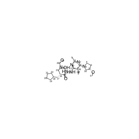 CO[C@H]1CCN(c2nc(C)nc(NNC(=O)[C@H](CC3CCCC3)CN(O)C=O)c2F)C1